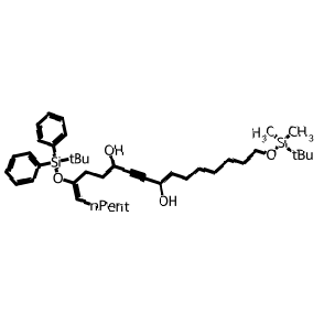 CCCCCC=C(CCC(O)C#CC(O)CCCCCCCO[Si](C)(C)C(C)(C)C)O[Si](c1ccccc1)(c1ccccc1)C(C)(C)C